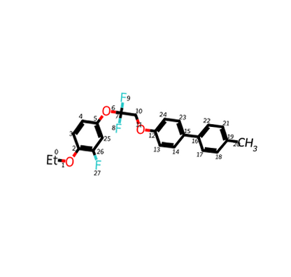 CCOc1ccc(OC(F)(F)COc2ccc(-c3ccc(C)cc3)cc2)cc1F